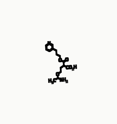 CC(N)OCCC(C(=O)O)C(=O)OCCCc1cccnc1